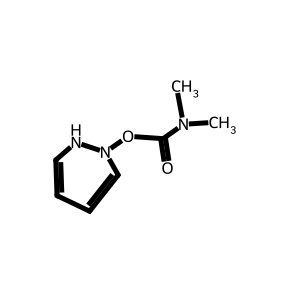 CN(C)C(=O)ON1C=CC=CN1